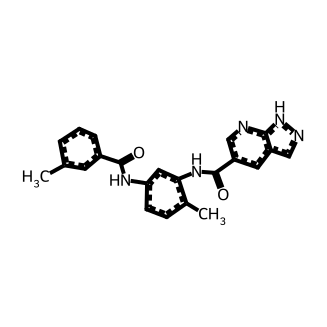 Cc1cccc(C(=O)Nc2ccc(C)c(NC(=O)c3cnc4[nH]ncc4c3)c2)c1